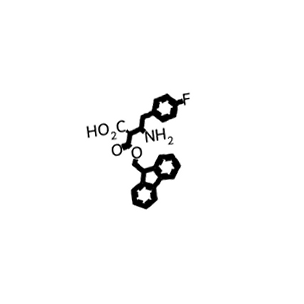 NC(Cc1ccc(F)cc1)[C@H](C(=O)O)C(=O)OCC1c2ccccc2-c2ccccc21